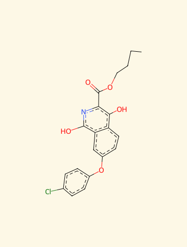 CCCCOC(=O)c1nc(O)c2cc(Oc3ccc(Cl)cc3)ccc2c1O